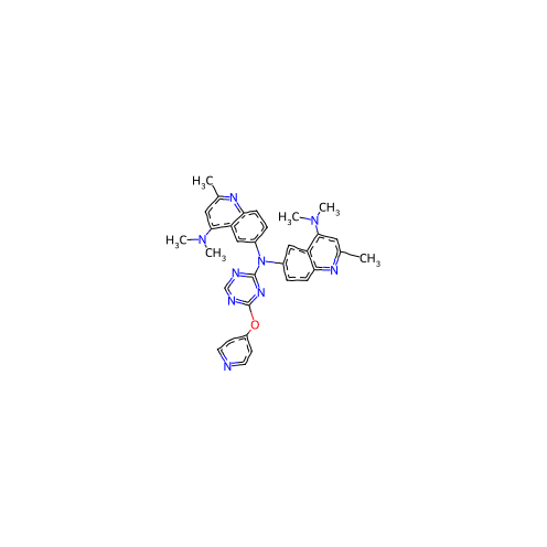 Cc1cc(N(C)C)c2cc(N(c3ccc4nc(C)cc(N(C)C)c4c3)c3ncnc(Oc4ccncc4)n3)ccc2n1